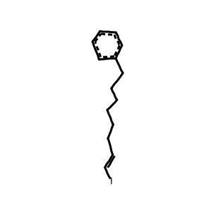 I/C=C/CCCCCCc1ccccc1